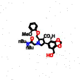 CCCCN(CCCC)C(=O)CN1C[C@H](c2cc(CO)c3c(c2)OCO3)[C@@H](C(=O)O)[C@@H]1COc1ccccc1OC